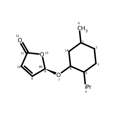 CC1CCC(C(C)C)C(O[C@H]2C=CC(=O)O2)C1